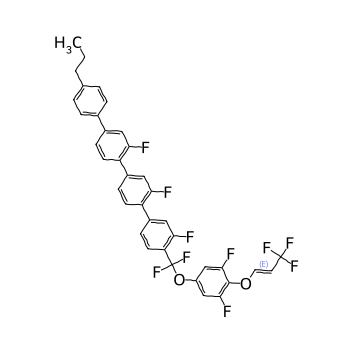 CCCc1ccc(-c2ccc(-c3ccc(-c4ccc(C(F)(F)Oc5cc(F)c(O/C=C/C(F)(F)F)c(F)c5)c(F)c4)c(F)c3)c(F)c2)cc1